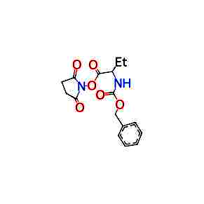 CCC(NC(=O)OCc1ccccc1)C(=O)ON1C(=O)CCC1=O